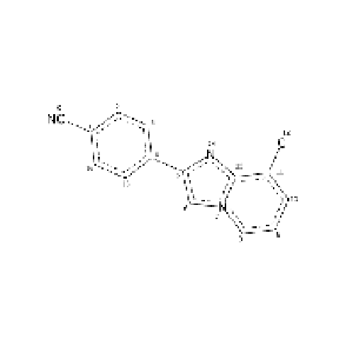 N#Cc1ccc(-c2cn3cccc(Cl)c3n2)cc1